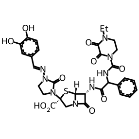 CCN1CCN(C(=O)NC(C(=O)N[C@@H]2C(=O)N3C[C@@](C(=O)O)(N4CCN(/N=C/c5ccc(O)c(O)c5)C4=O)S[C@H]23)c2ccccc2)C(=O)C1=O